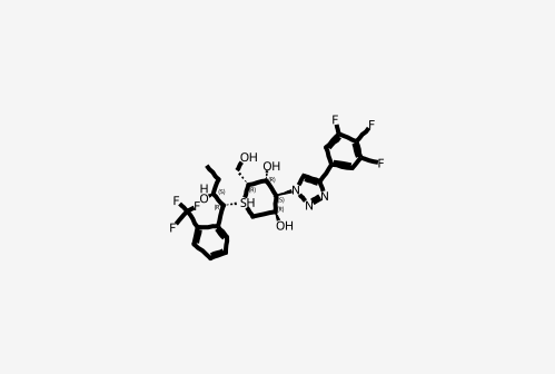 CC[C@H](O)[C@@H](c1ccccc1C(F)(F)F)[SH]1C[C@H](O)[C@H](n2cc(-c3cc(F)c(F)c(F)c3)nn2)[C@@H](O)[C@H]1CO